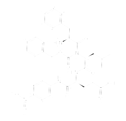 CC(C)C[C@@H](C(=O)N[C@@H](CCC(=O)O)C(=O)Nc1ccc([N+](=O)[O-])cc1)N(C(=O)OCc1ccccc1)C(=O)[C@@H](N)Cc1ccccc1